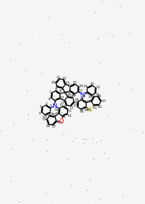 c1ccc(N(c2cccc3c2-c2ccccc2C32c3ccccc3-c3ccc(N(c4ccccc4)c4cccc5sc6ccccc6c45)cc32)c2cccc3oc4ccccc4c23)cc1